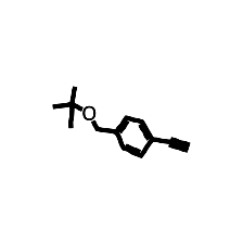 C#Cc1ccc(COC(C)(C)C)cc1